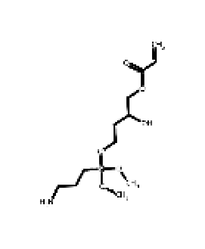 C=CC(=O)OCC(O)CCO[Si](CCCN)(OC)OC